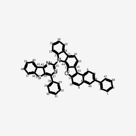 c1ccc(-c2ccc3c(ccc4oc5c(ccc6c7ccccc7n(-c7nc(-c8ccccc8)c8sc9ccccc9c8n7)c65)c43)c2)cc1